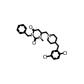 CN1C(=O)N(Cc2ccccc2)C(=O)CC1CN1CCC(Cc2cc(Cl)ccc2Cl)CC1